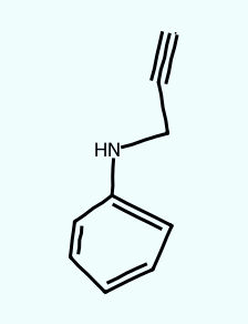 [C]#CCNc1ccccc1